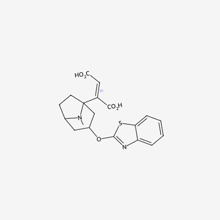 CN1C2CCC1(/C(=C\C(=O)O)C(=O)O)CC(Oc1nc3ccccc3s1)C2